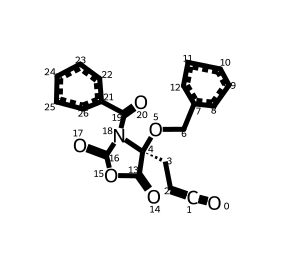 O=C=CC[C@]1(OCc2ccccc2)C(=O)OC(=O)N1C(=O)c1ccccc1